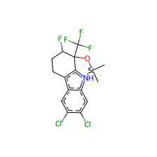 C[Si](C)(C)OC1(C(F)(F)F)c2[nH]c3cc(Cl)c(Cl)cc3c2CCC1F